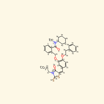 CCN(C(=O)c1ccccc1COc1cc(C=C2SC(=S)N(CC(=O)O)C2=O)ccc1OCCc1ccccc1)C1CCCCC1